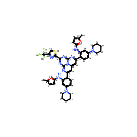 Cc1ccc(Nc2cc(N3CCCCC3)ccc2C2=CC3=CC(c4ccc(N5CCCCC5)cc4Nc4ccc(C)o4)=NC4=NC(c5nc(C(F)(F)F)cs5)=NC(=N2)N34)o1